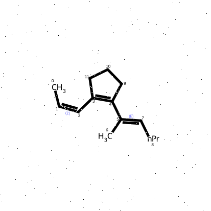 C/C=C\C1=C(C(/C)=C/CCC)CCC1